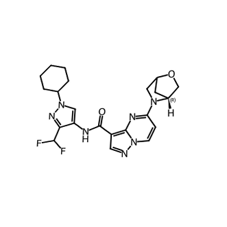 O=C(Nc1cn(C2CCCCC2)nc1C(F)F)c1cnn2ccc(N3CC4C[C@@H]3CO4)nc12